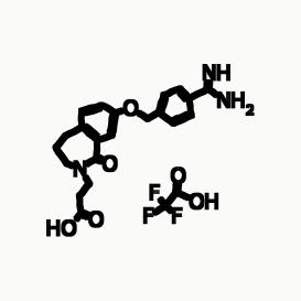 N=C(N)c1ccc(COc2ccc3c(c2)C(=O)N(CCC(=O)O)CCC3)cc1.O=C(O)C(F)(F)F